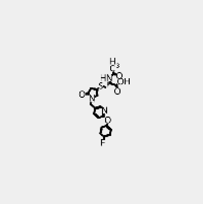 CC(=O)N[C@@H](CS[C@@H]1CC(=O)N(Cc2ccc(Oc3ccc(F)cc3)nc2)C1)C(=O)O